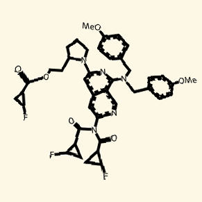 COc1ccc(CN(Cc2ccc(OC)cc2)c2nc(N3CCCC3CCOC(=O)C3CC3F)cc3cc(N(C(=O)C4CC4F)C(=O)C4CC4F)ncc23)cc1